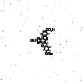 COc1ccc(Cn2c(=O)n3nc(C(C)(C)C)nc3c3c4c(sc32)CN(C(=O)O)CC4)cc1